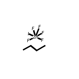 CCCC.[F][Zn]([F])([F])([F])([F])[I]